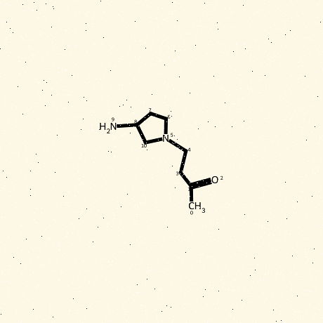 CC(=O)CCN1CCC(N)C1